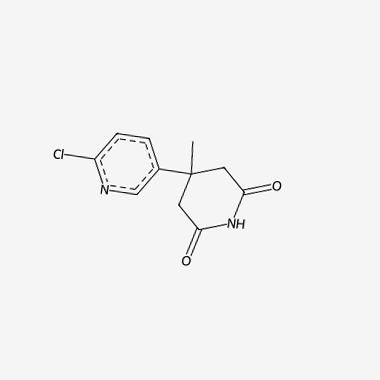 CC1(c2ccc(Cl)nc2)CC(=O)NC(=O)C1